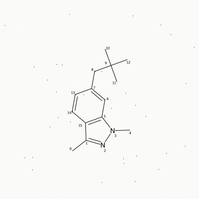 Cc1nn(C)c2cc(CC(C)(C)C)ccc12